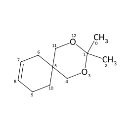 CC1(C)OCC2(CC=CCC2)CO1